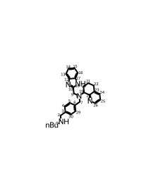 CCCCNCc1ccc(CN(Cc2nc3ccccc3[nH]2)C2CCCc3cccnc32)cc1